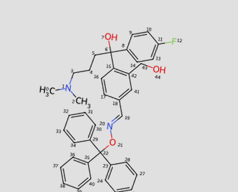 CN(C)CCCC(O)(c1ccc(F)cc1)c1ccc(C=NOC(c2ccccc2)(c2ccccc2)c2ccccc2)cc1CO